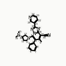 Cc1c(-c2ccccc2)c(N2CC[C@H](N(C)C)C2)n2nc(-c3cccnc3)nc2c1C#N